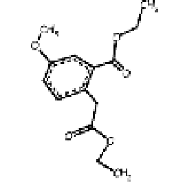 CCOC(=O)Cc1ccc(OC)cc1C(=O)OCC